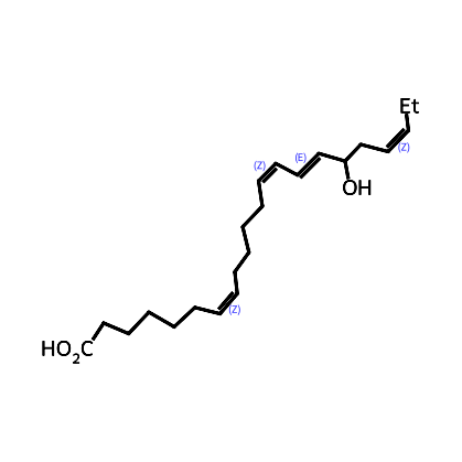 CC/C=C\CC(O)/C=C/C=C\CCCC/C=C\CCCCCC(=O)O